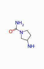 [NH]C1CCN(C(N)=O)C1